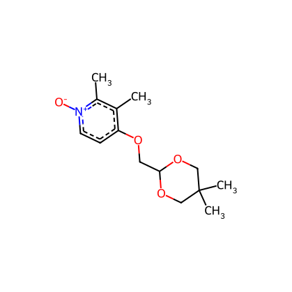 Cc1c(OCC2OCC(C)(C)CO2)cc[n+]([O-])c1C